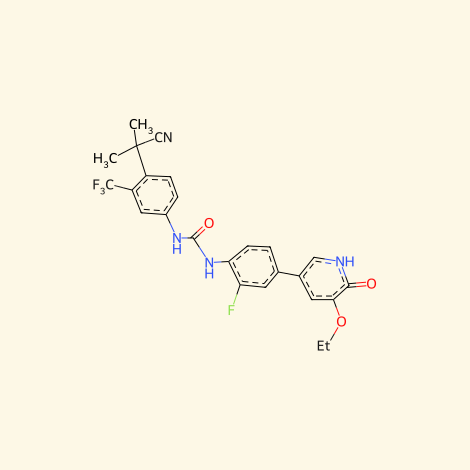 CCOc1cc(-c2ccc(NC(=O)Nc3ccc(C(C)(C)C#N)c(C(F)(F)F)c3)c(F)c2)c[nH]c1=O